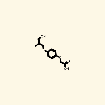 C/C(=C/O)CSc1ccc(OCC(=O)O)cc1